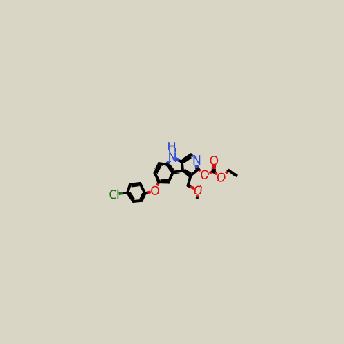 CCOC(=O)Oc1ncc2[nH]c3ccc(Oc4ccc(Cl)cc4)cc3c2c1COC